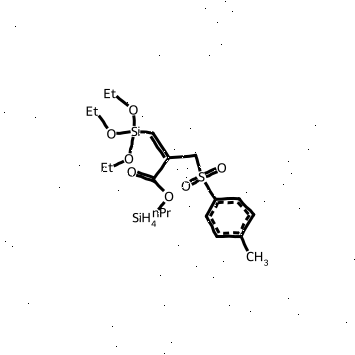 CCCOC(=O)C(=C[Si](OCC)(OCC)OCC)CS(=O)(=O)c1ccc(C)cc1.[SiH4]